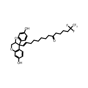 CC1COc2cc(O)ccc2C1(C=CCCCCCCC(=O)CCCCC(F)(F)C(F)(F)F)c1ccc(O)cc1